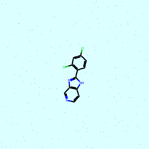 Clc1ccc(-c2nc3cnccc3[nH]2)c(Cl)c1